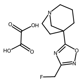 FCc1noc(C23CCCN(CC2)C3)n1.O=C(O)C(=O)O